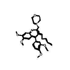 CCCCCc1c(CN2CCOCC2)nc2cc(OC)c(OC)cc2c1-c1ccc(OC)c(OC)c1